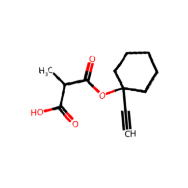 C#CC1(OC(=O)C(C)C(=O)O)CCCCC1